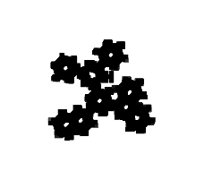 c1ccc(C2=NC(c3cc(-c4ccc5ccccc5c4)cc(-c4nc5ccccc5c5ccccc45)c3)NC(c3ccccc3)=N2)cc1